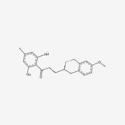 COc1ccc2c(c1)CCC(CCC(=O)c1c(O)cc(C)cc1O)C2